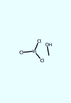 CO.[Cl][In]([Cl])[Cl]